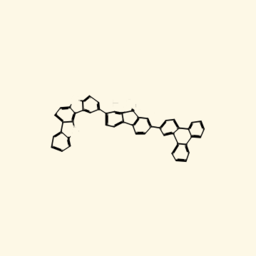 CC1(C)c2cc(-c3ccc4c5ccccc5c5ccccc5c4c3)ccc2-c2ccc(-c3ccc4oc5ccc6c7ccccc7oc6c5c4c3)cc21